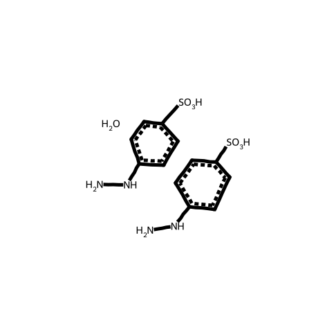 NNc1ccc(S(=O)(=O)O)cc1.NNc1ccc(S(=O)(=O)O)cc1.O